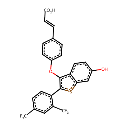 O=C(O)C=Cc1ccc(Oc2c(-c3ccc(C(F)(F)F)cc3C(F)(F)F)sc3cc(O)ccc23)cc1